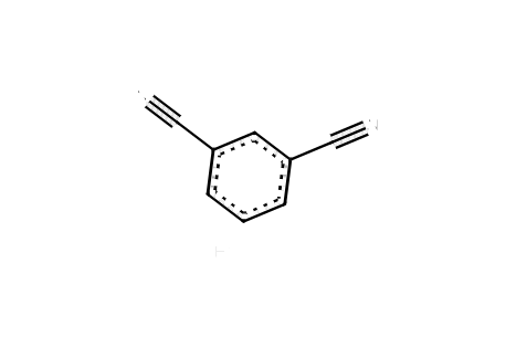 Cl.N#Cc1cccc(C#N)c1